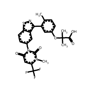 Cc1ccc(OC(C)(C)C(=O)O)cc1-c1nsc2ccc(-n3c(=O)cc(C(F)(F)F)n(C)c3=O)cc12